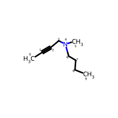 CC#CCN(C)CCCC